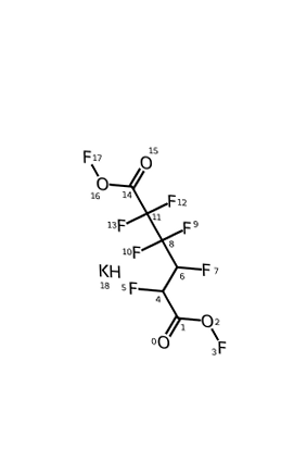 O=C(OF)C(F)C(F)C(F)(F)C(F)(F)C(=O)OF.[KH]